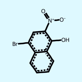 O=[N+]([O-])c1cc(Br)c2ccccc2c1O